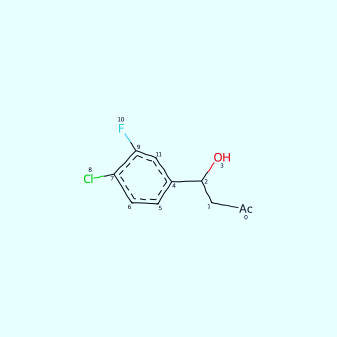 CC(=O)CC(O)c1ccc(Cl)c(F)c1